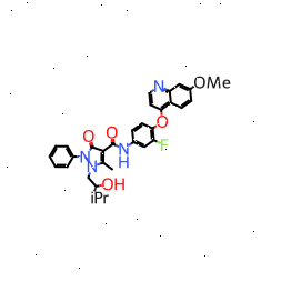 COc1ccc2c(Oc3ccc(NC(=O)c4c(C)n(C[C@@H](O)C(C)C)n(-c5ccccc5)c4=O)cc3F)ccnc2c1